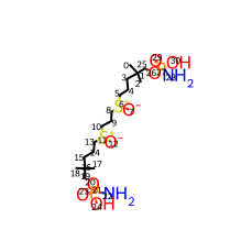 CC(C)(CCC[S+]([O-])CCC[S+]([O-])CCCC(C)(C)COP(N)(=O)O)COP(N)(=O)O